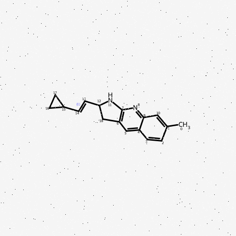 Cc1ccc2cc3c(nc2c1)NC(/C=C/C1CC1)C3